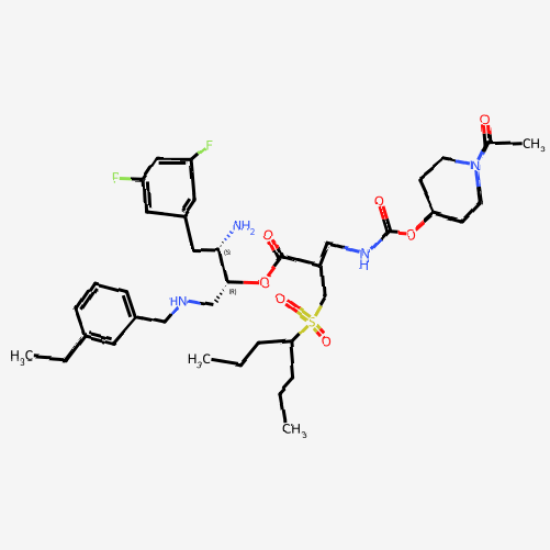 CCCC(CCC)S(=O)(=O)CC(CNC(=O)OC1CCN(C(C)=O)CC1)C(=O)O[C@H](CNCc1cccc(CC)c1)[C@@H](N)Cc1cc(F)cc(F)c1